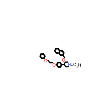 O=C(O)N1CCC(c2ccc(OCCCOc3ccccc3)cc2)C(OCc2ccc3ccccc3c2)C1